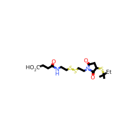 CCC(C)(C)SC1CC(=O)N(CCSSCCNC(=O)CCC(=O)O)C1=O